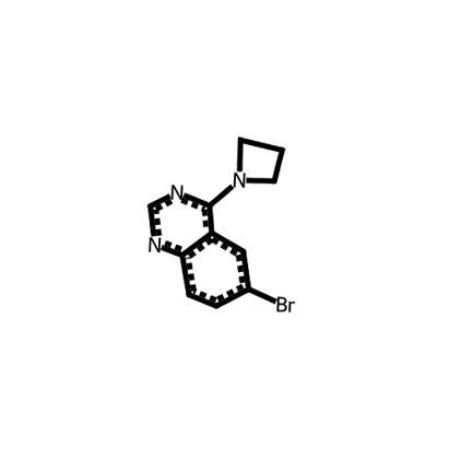 Brc1ccc2ncnc(N3CCC3)c2c1